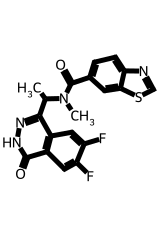 CC(c1n[nH]c(=O)c2cc(F)c(F)cc12)N(C)C(=O)c1ccc2ncsc2c1